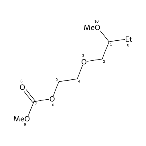 CCC(COCCOC(=O)OC)OC